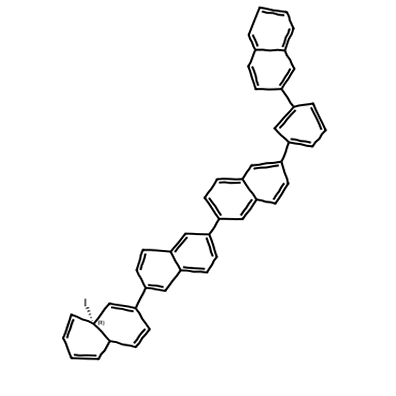 I[C@@]12C=CC=CC1C=CC(c1ccc3cc(-c4ccc5cc(-c6cccc(-c7ccc8ccccc8c7)c6)ccc5c4)ccc3c1)=C2